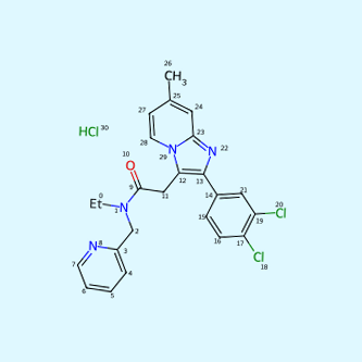 CCN(Cc1ccccn1)C(=O)Cc1c(-c2ccc(Cl)c(Cl)c2)nc2cc(C)ccn12.Cl